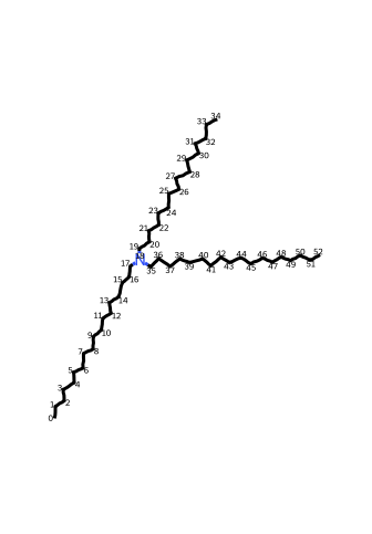 CCCCCCCCCCCCCCCCCCN(CCCCCCCCCCCCCCCC)CCCCCCCCCCCCCCCCCC